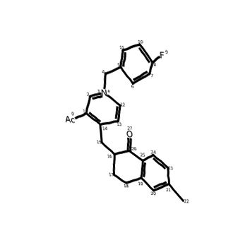 CC(=O)c1c[n+](Cc2ccc(F)cc2)ccc1CC1CCc2cc(C)ccc2C1=O